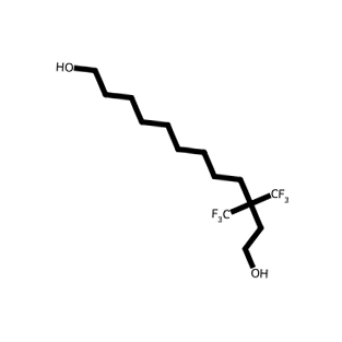 OCCCCCCCCCC(CCO)(C(F)(F)F)C(F)(F)F